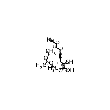 CCOC(C)OCC.N#CCCCC#CCC(S)C(=O)O